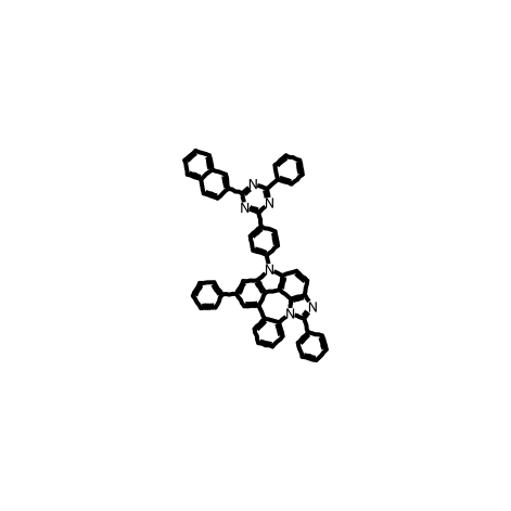 c1ccc(-c2cc3c4ccccc4n4c(-c5ccccc5)nc5ccc6c(c3c(c2)n6-c2ccc(-c3nc(-c6ccccc6)nc(-c6ccc7ccccc7c6)n3)cc2)c54)cc1